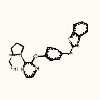 OC[C@@H]1CCCN1c1nccnc1Oc1ccc(Nc2nc3ccccc3s2)cc1